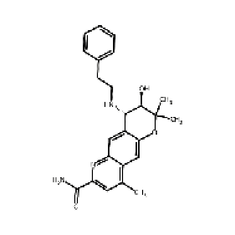 Cc1cc(C(N)=O)nc2cc3c(cc12)OC(C)(C)[C@H](O)[C@H]3NCCc1ccccc1